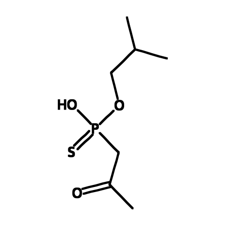 CC(=O)CP(O)(=S)OCC(C)C